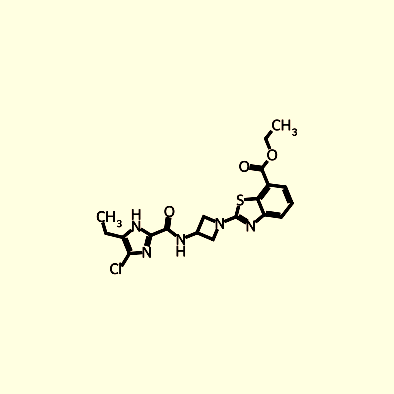 CCOC(=O)c1cccc2nc(N3CC(NC(=O)c4nc(Cl)c(CC)[nH]4)C3)sc12